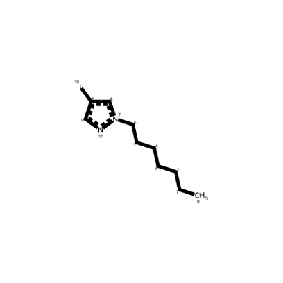 CCCCCCCn1cc(I)cn1